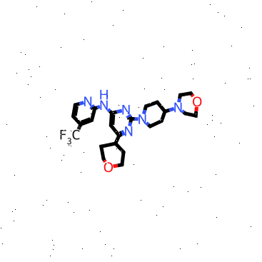 FC(F)(F)c1ccnc(Nc2cc(C3CCOCC3)nc(N3CCC(N4CCOCC4)CC3)n2)c1